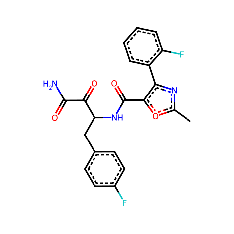 Cc1nc(-c2ccccc2F)c(C(=O)NC(Cc2ccc(F)cc2)C(=O)C(N)=O)o1